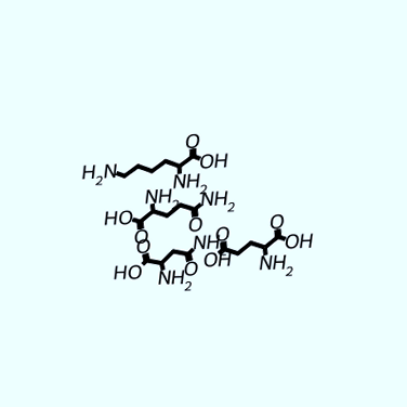 NC(=O)CC(N)C(=O)O.NC(=O)CCC(N)C(=O)O.NC(CCC(=O)O)C(=O)O.NCCCCC(N)C(=O)O